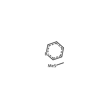 CSC.b1ccccc1